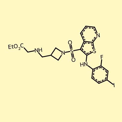 CCOC(=O)CNCC1CN(S(=O)(=O)c2c(Nc3ccc(I)cc3F)sc3ncccc23)C1